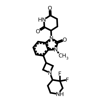 Cn1c(=O)n(C2CCC(=O)NC2=O)c2cccc(C3CN(C4CCNCC4(F)F)C3)c21